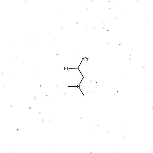 CCCC([CH]N(C)C)CC